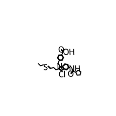 CCCSC=CCCc1c(Cl)c2cc(NC(=O)C3CCCC3)ccc2n1Cc1ccc(C(=O)O)cc1